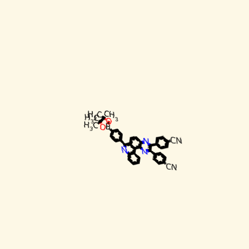 CC1(C)OB(c2ccc(-c3nc4ccccc4c4c3ccc3nc(-c5ccc(C#N)cc5)c(-c5ccc(C#N)cc5)nc34)cc2)OC1(C)C